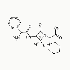 NC(C(=O)NC1C(=O)N2C(C(=O)O)C3(CCCCC3)S[C@@H]12)c1ccccc1